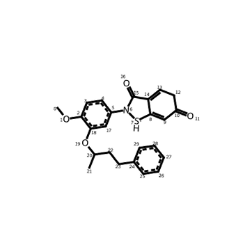 COc1ccc(N2[SH]C3=CC(=O)CC=C3C2=O)cc1OC(C)CCc1ccccc1